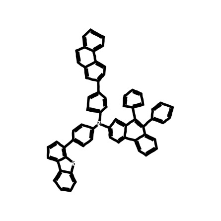 c1ccc(-c2c(-c3ccccc3)c3cc(N(c4ccc(-c5ccc6c(ccc7ccccc76)c5)cc4)c4ccc(-c5cccc6c5sc5ccccc56)cc4)ccc3c3ccccc23)cc1